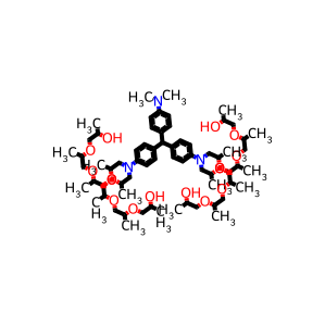 CC(O)COC(C)COC(C)COC(C)CN(CC(C)OCC(C)OCC(C)OCC(C)O)c1ccc(C(c2ccc(N(C)C)cc2)c2ccc(N(CC(C)OCC(C)OCC(C)OCC(C)O)CC(C)OCC(C)OCC(C)OCC(C)O)cc2)cc1